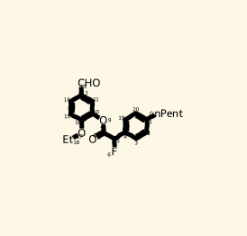 CCCCCc1ccc(C(F)C(=O)Oc2cc(C=O)ccc2OCC)cc1